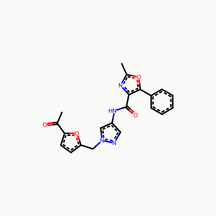 CC(=O)c1ccc(Cn2cc(NC(=O)c3nc(C)oc3-c3ccccc3)cn2)o1